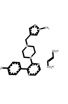 Cc1ccc(-c2nccnc2N2CCN(Cc3cnn(C)c3)CC2)cc1.O=C(O)C=CC(=O)O